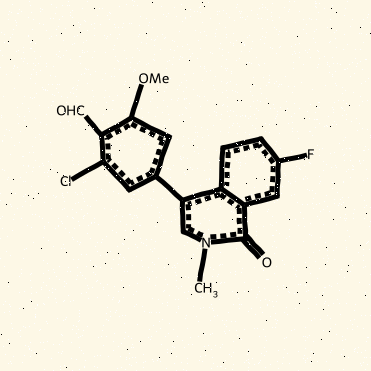 COc1cc(-c2cn(C)c(=O)c3cc(F)ccc23)cc(Cl)c1C=O